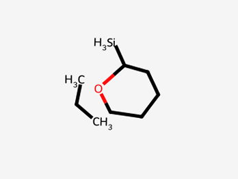 CCC.[SiH3]C1CCCCO1